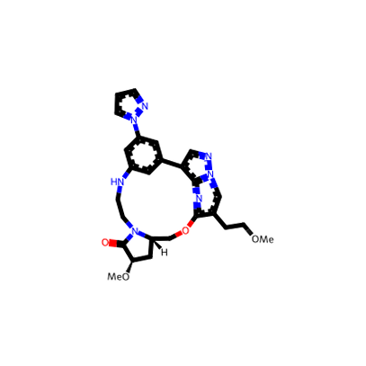 COCCc1cn2ncc3c2nc1OC[C@@H]1C[C@@H](OC)C(=O)N1CCNc1cc-3cc(-n2cccn2)c1